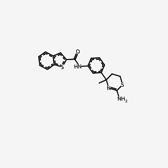 CC1(c2cccc(NC(=O)c3cc4ccccc4s3)c2)CCSC(N)=N1